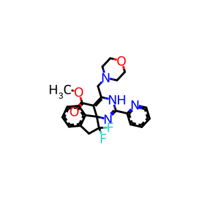 COC(=O)C1=C(CN2CCOCC2)NC(c2ccccn2)=NC12c1ccccc1CC2(F)F